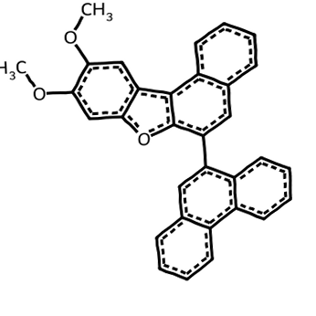 COc1cc2oc3c(-c4cc5ccccc5c5ccccc45)cc4ccccc4c3c2cc1OC